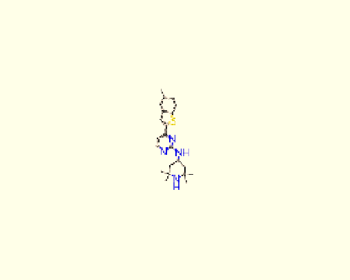 Cc1ccc2sc(-c3ccnc(NC4CC(C)(C)NC(C)(C)C4)n3)cc2c1